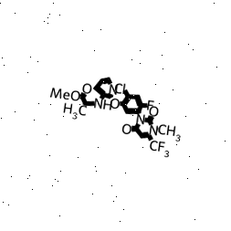 COC(=O)C(C)Nc1cccnc1Oc1cc(-n2c(=O)cc(C(F)(F)F)n(C)c2=O)c(F)cc1Cl